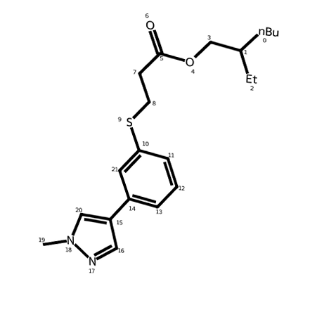 CCCCC(CC)COC(=O)CCSc1cccc(-c2cnn(C)c2)c1